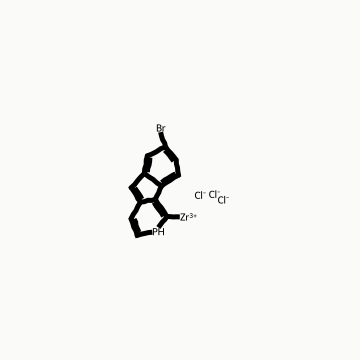 Brc1ccc2c3[c]([Zr+3])[pH]ccc-3cc2c1.[Cl-].[Cl-].[Cl-]